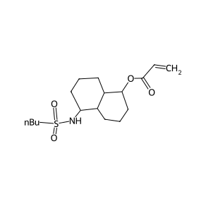 C=CC(=O)OC1CCCC2C(NS(=O)(=O)CCCC)CCCC12